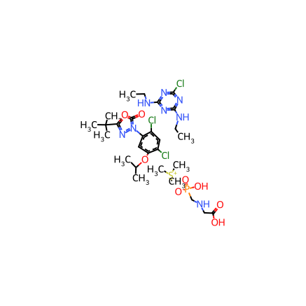 CC(C)Oc1cc(-n2nc(C(C)(C)C)oc2=O)c(Cl)cc1Cl.CCNc1nc(Cl)nc(NCC)n1.C[S+](C)C.O=C(O)CNCP(=O)([O-])O